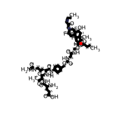 CC/C=C\C(=O)/C=C1\C[C@@]2(F)[C@@H](O)C[C@@]3(C)[C@@H](C[C@H]4OC(CCC)O[C@]43C(=O)COCNC(=O)CNC(=O)OCc3ccc(NC(=O)[C@H](CCCNC(N)=O)NC(=O)[C@@H](NC(=O)[C@H](N)CCC(=O)O)C(C)C)cc3)[C@@H]2C[C@@H]1F